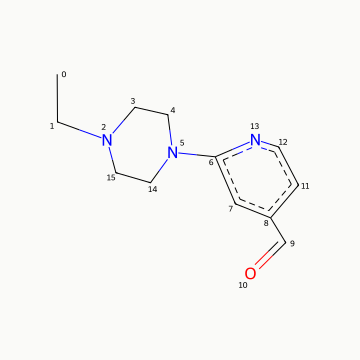 CCN1CCN(c2cc(C=O)ccn2)CC1